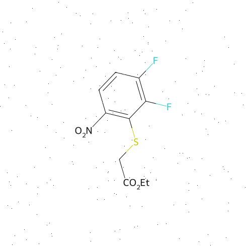 CCOC(=O)CSc1c([N+](=O)[O-])ccc(F)c1F